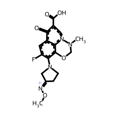 CO/N=C1\CCN(c2c(F)cc3c(=O)c(C(=O)O)cn4c3c2OCN4C)C1